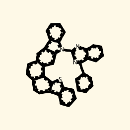 c1ccc(-c2nc(-n3c4ccccc4c4cc5ccc6ccc7c8ccccc8sc7c6c5cc43)nc3ccccc23)cc1